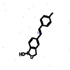 Cc1ccc(/C=C/c2ccc3c(c2)COB3O)cc1